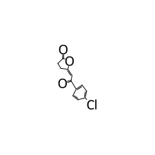 O=C1CCC(=CC(=O)c2ccc(Cl)cc2)O1